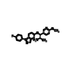 COc1ccc(C(Oc2ccc3c(cnn3-c3ccc(F)cc3)c2)C(C)N)cn1